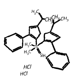 CC(C)C1=CC(c2ccccc2)=[C]([Ti]([CH3])([CH3])(=[SiH2])[C]2=C(c3ccccc3)C=C(C(C)C)C2)C1.Cl.Cl